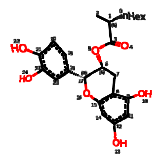 CCCCCC[C@H](C)C(=O)O[C@H]1Cc2c(O)cc(O)cc2O[C@@H]1c1ccc(O)c(O)c1